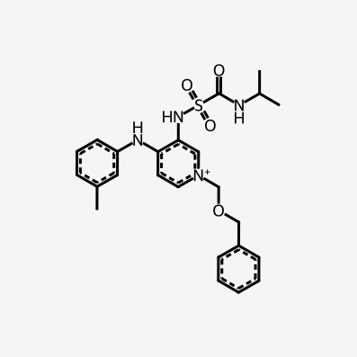 Cc1cccc(Nc2cc[n+](COCc3ccccc3)cc2NS(=O)(=O)C(=O)NC(C)C)c1